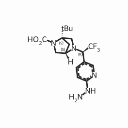 CC(C)(C)[C@]12C[C@@H](CN1C(=O)O)N([C@H](c1ccc(NN)nc1)C(F)(F)F)C2